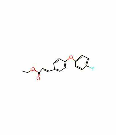 CCOC(=O)C=Cc1ccc(Oc2ccc(F)cc2)cc1